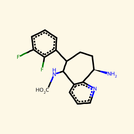 N[C@@H]1CCC(c2cccc(F)c2F)C(NC(=O)O)c2cccnc21